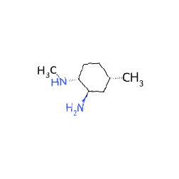 CN[C@@H]1CC[C@H](C)C[C@H]1N